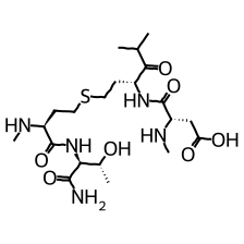 CN[C@@H](CCSCC[C@@H](NC(=O)[C@H](CC(=O)O)NC)C(=O)C(C)C)C(=O)N[C@H](C(N)=O)[C@@H](C)O